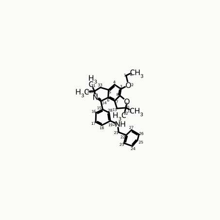 CCOc1cc2c(c3c1OC(C)(C)C3)C(c1cccc(NCc3ccccc3)c1)=NC(C)(C)C2